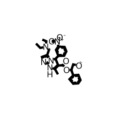 CCN(CC)Cc1cnc2n1C(c1cccc([N+](=O)[O-])c1)C(C(=O)OC(COC)c1ccccc1)=C(C)N2